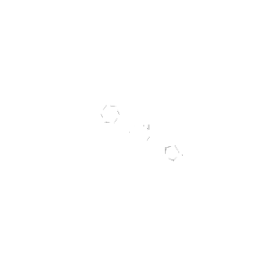 O=C(NC(Cl)Cc1ccc(Cl)cc1)C1COc2ncsc21